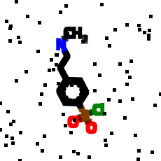 C=NCCc1ccc(S(=O)(=O)Cl)cc1